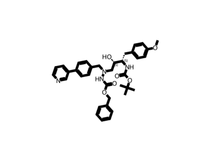 COc1ccc(C[C@H](NC(=O)OC(C)(C)C)[C@@H](O)CN(Cc2ccc(-c3cccnc3)cc2)NC(=O)OCc2ccccc2)cc1